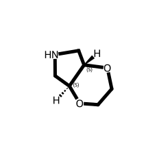 C1CO[C@H]2CNC[C@@H]2O1